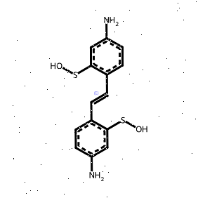 Nc1ccc(/C=C/c2ccc(N)cc2SO)c(SO)c1